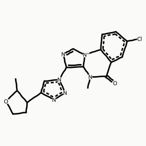 CC1OCCC1c1cn(C2=C3N(C)C(=O)c4cc(Cl)ccc4[N+]3C=N2)nn1